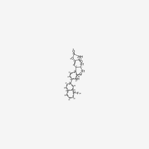 CCC(CC)C(/C=C1/OC(=O)NC1=O)c1ccc(-c2ccc3cccc(F)c3c2)[nH]c1=O